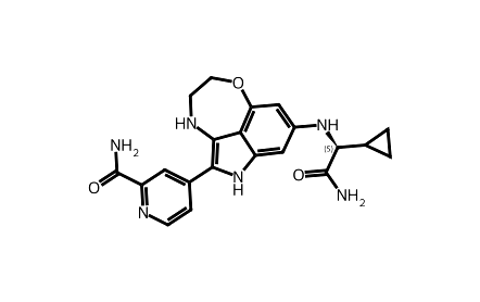 NC(=O)c1cc(-c2[nH]c3cc(N[C@H](C(N)=O)C4CC4)cc4c3c2NCCO4)ccn1